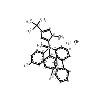 Cl.Cl.[CH2]=[Zr]([C]1=CC(C(C)(C)C)=CC1C)([c]1ccc(C)cc1)([c]1ccc(C)cc1)[c]1cccc2c1Cc1ccccc1-2